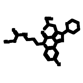 COC(C)Cc1c2c(=O)n(CCCNC(=O)OC(C)(C)C)c3ccc(Cl)cc3c2nn1C1CCCCO1